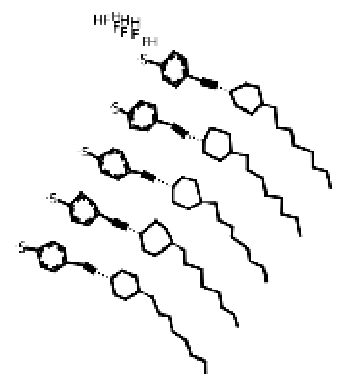 CCCCCCCC[C@H]1CC[C@H](C#Cc2ccc([S])cc2)CC1.CCCCCCCC[C@H]1CC[C@H](C#Cc2ccc([S])cc2)CC1.CCCCCCCC[C@H]1CC[C@H](C#Cc2ccc([S])cc2)CC1.CCCCCCCC[C@H]1CC[C@H](C#Cc2ccc([S])cc2)CC1.CCCCCCCC[C@H]1CC[C@H](C#Cc2ccc([S])cc2)CC1.F.F.F.F.F